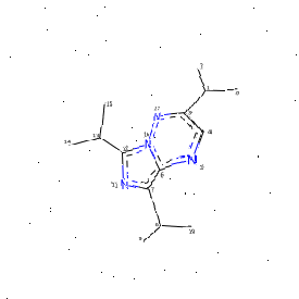 CC(C)c1cnc2c(C(C)C)nc(C(C)C)n2n1